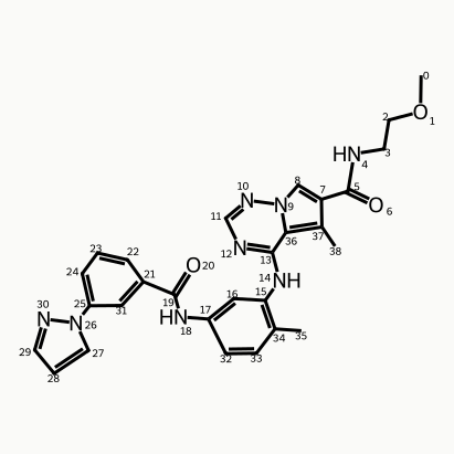 COCCNC(=O)c1cn2ncnc(Nc3cc(NC(=O)c4cccc(-n5cccn5)c4)ccc3C)c2c1C